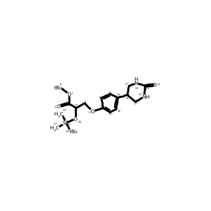 CC(C)(C)OC(=O)C(COc1ccc(C2CNC(=S)NC2)cc1)O[Si](C)(C)C(C)(C)C